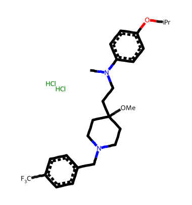 COC1(CCN(C)c2ccc(OC(C)C)cc2)CCN(Cc2ccc(C(F)(F)F)cc2)CC1.Cl.Cl